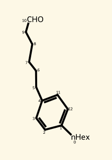 CCCCCCc1ccc(CCCCCC=O)cc1